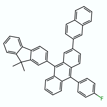 CC1(C)c2ccccc2-c2ccc(-c3c4ccccc4c(-c4ccc(F)cc4)c4ccc(-c5ccc6ccccc6c5)cc34)cc21